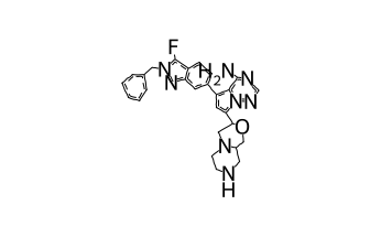 Nc1ncnn2c(C3CN4CCNCC4CO3)cc(-c3ccc4c(F)n(Cc5ccccc5)nc4c3)c12